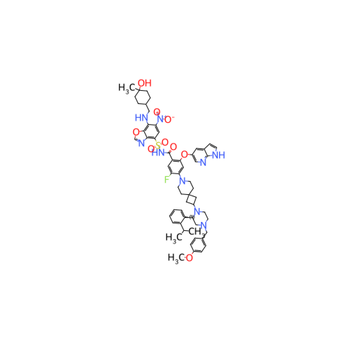 COc1ccc(CN2CCN(C3CC4(CCN(c5cc(Oc6cnc7[nH]ccc7c6)c(C(=O)NS(=O)(=O)c6cc([N+](=O)[O-])c(NCC7CCC(C)(O)CC7)c7ocnc67)cc5F)CC4)C3)[C@H](c3ccccc3C(C)C)C2)cc1